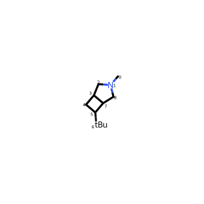 CN1CC2CC(C(C)(C)C)C2C1